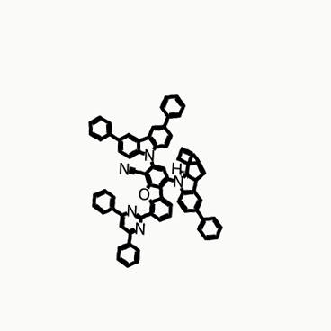 N#Cc1c(-n2c3ccc(-c4ccccc4)cc3c3cc(-c4ccccc4)ccc32)cc(N2c3ccc(-c4ccccc4)cc3C3C=C4C5=CCC54[C@@H]32)c2c1oc1c(-c3nc(-c4ccccc4)cc(-c4ccccc4)n3)cccc12